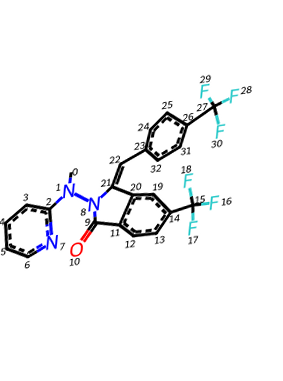 CN(c1ccccn1)N1C(=O)c2ccc(C(F)(F)F)cc2C1=Cc1ccc(C(F)(F)F)cc1